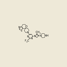 C[C@@H]1[C@H](N2CCNCC2)CN1c1cc(N2CCC3(CC2)OCCc2ncsc23)nc(C(F)(F)F)n1